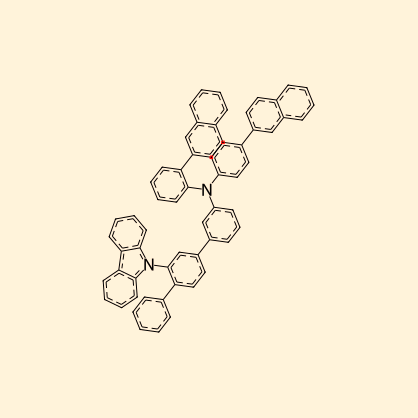 c1ccc(-c2ccc(-c3cccc(N(c4ccc(-c5ccc6ccccc6c5)cc4)c4ccccc4-c4ccc5ccccc5c4)c3)cc2-n2c3ccccc3c3ccccc32)cc1